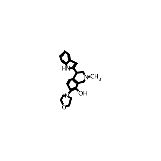 CN1Cc2c(ccc(N3CCOCC3)c2O)C(c2cc3ccccc3[nH]2)C1